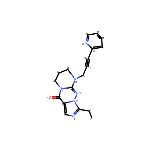 CCc1ncc2c(=O)n3c(nn12)N(CC#Cc1ccccn1)CCC3